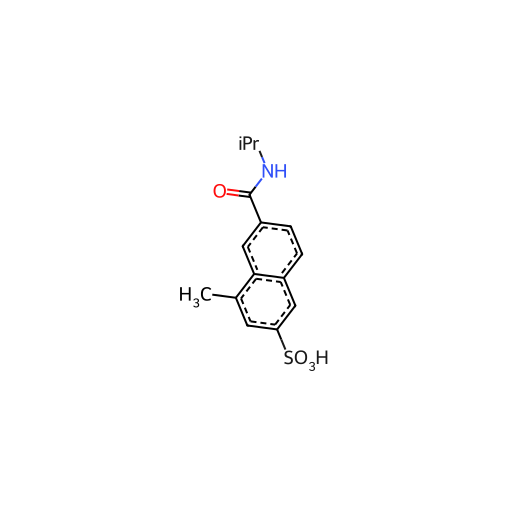 Cc1cc(S(=O)(=O)O)cc2ccc(C(=O)NC(C)C)cc12